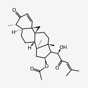 CC(=O)O[C@H]1C[C@@]2(C)[C@@H]3CC[C@H]4[C@H](C)C(=O)C=C[C@@]45C[C@@]35CC[C@]2(C)C1[C@@H](O)C(=O)C=C(C)C